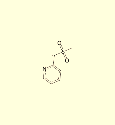 CS(=O)(=O)[CH]c1ccccn1